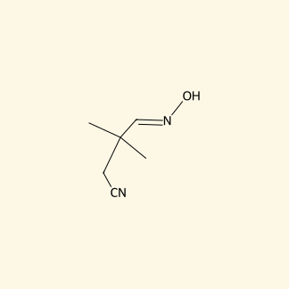 CC(C)(/C=N/O)CC#N